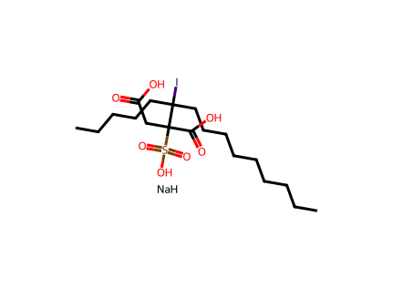 CCCCCCCCCC(I)(CCCCC)C(CC(=O)O)(C(=O)O)S(=O)(=O)O.[NaH]